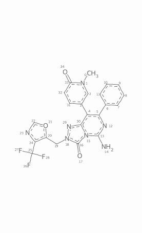 Cn1cc(-c2c(-c3ccccc3)nc(N)n3c(=O)n(Cc4ocnc4C(F)(F)F)nc23)ccc1=O